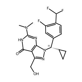 CN(C)c1nc2c(c(CO)nn2[C@H](c2ccc(C(F)F)c(F)c2)C2CC2)c(=O)[nH]1